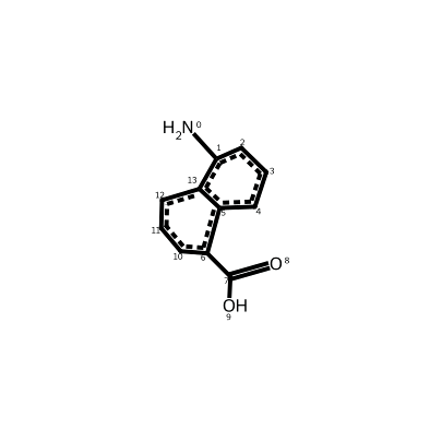 Nc1cccc2c(C(=O)O)cccc12